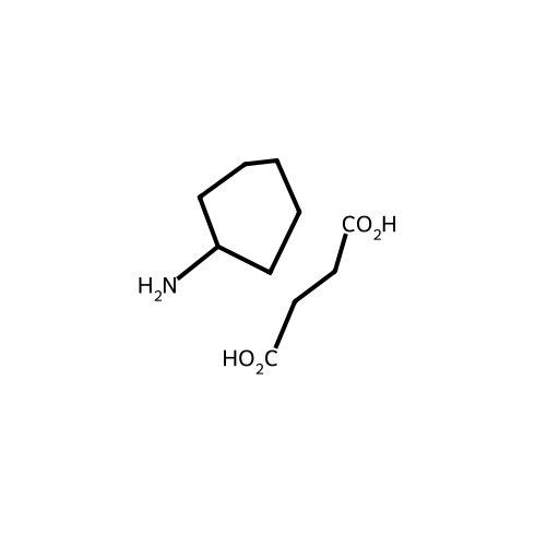 NC1CCCCC1.O=C(O)CCC(=O)O